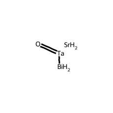 [O]=[Ta][BiH2].[SrH2]